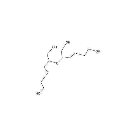 OCCCCC(CO)OC(CO)CCCCO